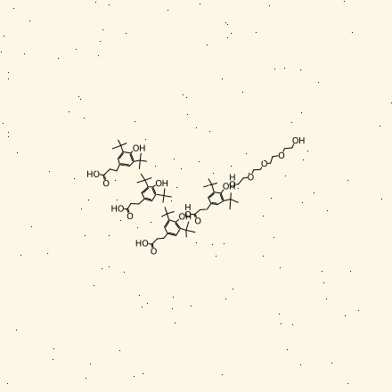 CC(C)(C)c1cc(CCC(=O)O)cc(C(C)(C)C)c1O.CC(C)(C)c1cc(CCC(=O)O)cc(C(C)(C)C)c1O.CC(C)(C)c1cc(CCC(=O)O)cc(C(C)(C)C)c1O.CC(C)(C)c1cc(CCC(=O)O)cc(C(C)(C)C)c1O.OCCOCCOCCOCCO